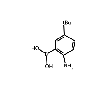 CC(C)(C)c1ccc(N)c(B(O)O)c1